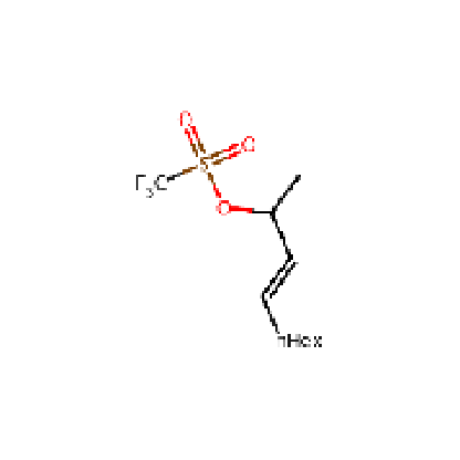 CCCCCCC=CC(C)OS(=O)(=O)C(F)(F)F